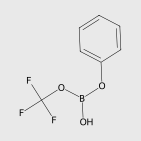 OB(Oc1ccccc1)OC(F)(F)F